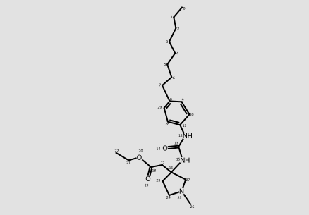 CCCCCCCCc1ccc(NC(=O)NC2(CC(=O)OCC)CCN(C)C2)cc1